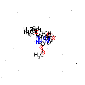 COCCOc1cc(-c2cccc(C3(N[S@+]([O-])C(C)(C)C)CCOC3)n2)cc2c1cnn2-c1cccc(CO[Si](C)(C)C(C)(C)C)n1